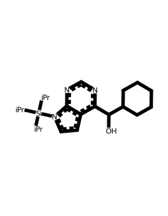 CC(C)[Si](C(C)C)(C(C)C)n1ccc2c(C(O)C3CCCCC3)ncnc21